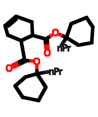 CCCC1(OC(=O)C2CC=CCC2C(=O)OC2(CCC)CCCCC2)CCCCC1